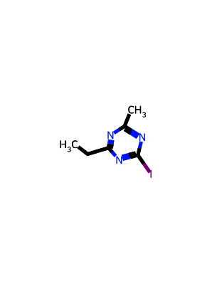 CCc1nc(C)nc(I)n1